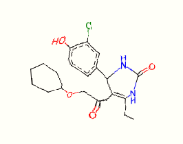 CCC1=C(C(=O)COC2CCCCC2)C(c2ccc(O)c(Cl)c2)NC(=O)N1